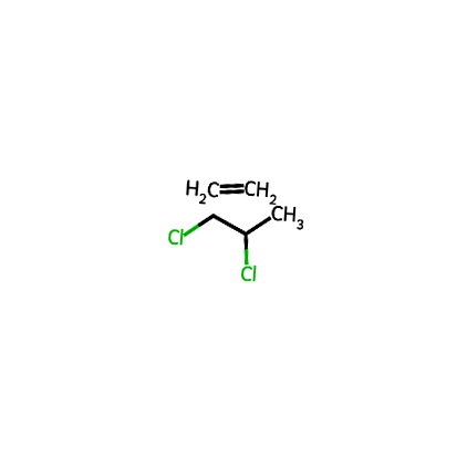 C=C.CC(Cl)CCl